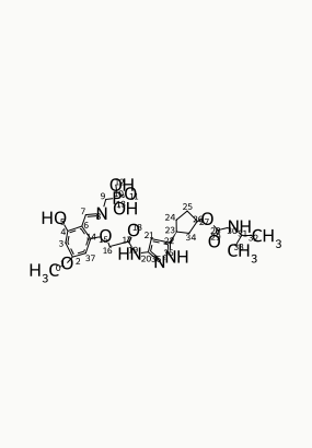 COc1cc(O)c(/C=N/CP(=O)(O)O)c(OCC(=O)Nc2cc([C@H]3CC[C@@H](OC(=O)NC(C)C)C3)[nH]n2)c1